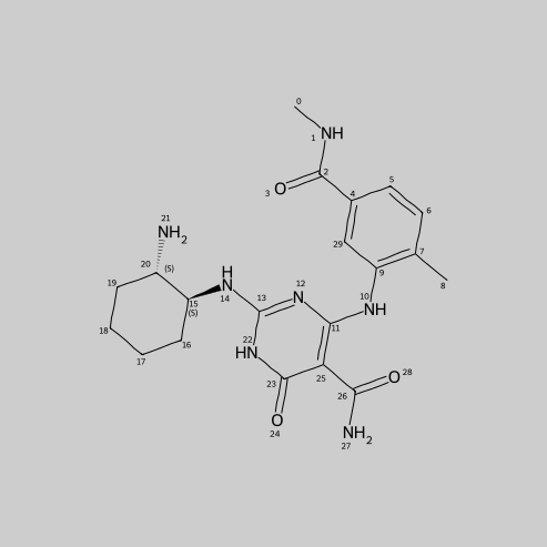 CNC(=O)c1ccc(C)c(Nc2nc(N[C@H]3CCCC[C@@H]3N)[nH]c(=O)c2C(N)=O)c1